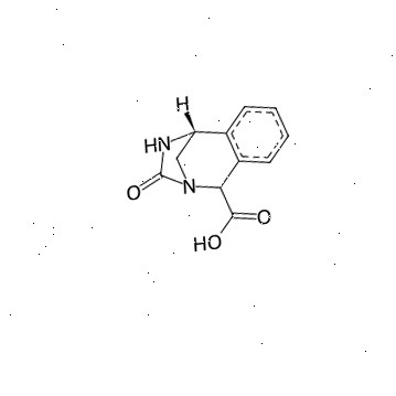 O=C(O)C1c2ccccc2[C@@H]2CN1C(=O)N2